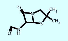 CC1(C)CN2C(=O)C(NC=O)C2S1